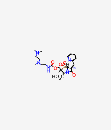 CN(C)CCN(C)CCNC(=O)OC[C@@]1(C)[C@H](C(=O)O)N2C(=O)/C(=C/c3ccccn3)[C@H]2S1(=O)=O